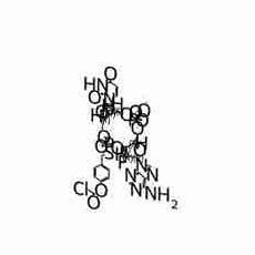 COOP1(=O)OC[C@H]2O[C@@H](n3cnc4c(N)ncnc43)[C@H](F)[C@@H]2OP(=O)(SCc2ccc(OC(=O)Cl)cc2)OC[C@H]2O[C@@H](n3ccc(=O)[nH]c3=O)[C@H](O1)[C@@H]2F